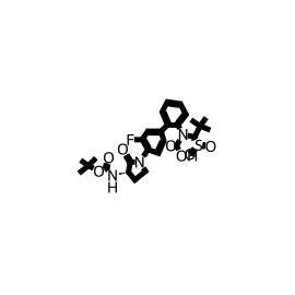 CC(C)(C)OC(=O)N[C@H]1CCN(c2ccc(-c3ccccc3N(C(=O)O)C(=S(=O)=O)C(C)(C)C)cc2F)C1=O